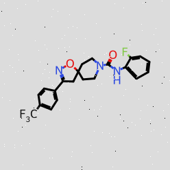 O=C(Nc1ccccc1F)N1CCC2(CC1)CC(c1ccc(C(F)(F)F)cc1)=NO2